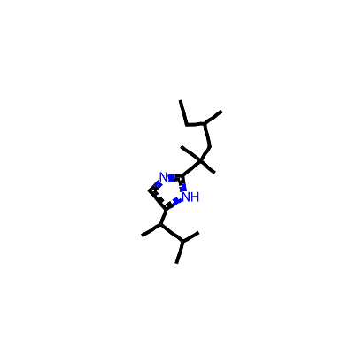 CCC(C)CC(C)(C)c1ncc(C(C)C(C)C)[nH]1